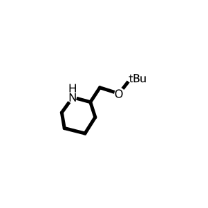 CC(C)(C)OCC1CCCCN1